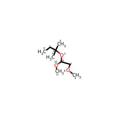 CCC(C)(C)OC(COC)OC